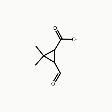 CC1(C)C([C]=O)C1C([O])=O